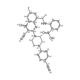 Cc1cc(C(C)Nc2ccccc2C(=O)O)c2nc(N3CCN(c4ncc(C#N)cn4)CC3)c(C#N)c(=O)n2c1